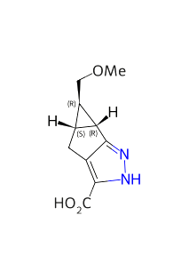 COC[C@@H]1[C@H]2Cc3c(n[nH]c3C(=O)O)[C@@H]12